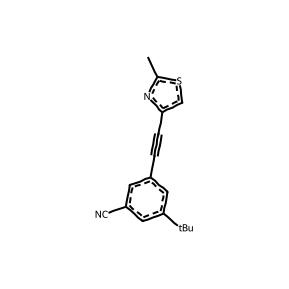 Cc1nc(C#Cc2cc(C#N)cc(C(C)(C)C)c2)cs1